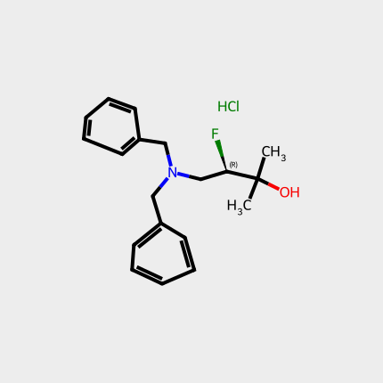 CC(C)(O)[C@H](F)CN(Cc1ccccc1)Cc1ccccc1.Cl